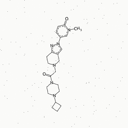 Cn1cc(-n2cc3c(n2)CCN(CC(=O)N2CCN(C4CCC4)CC2)C3)ccc1=O